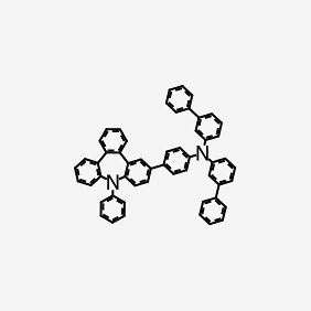 c1ccc(-c2cccc(N(c3ccc(-c4ccc5c(c4)-c4ccccc4-c4ccccc4N5c4ccccc4)cc3)c3cccc(-c4ccccc4)c3)c2)cc1